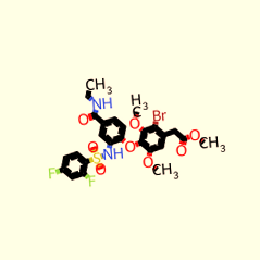 CCNC(=O)c1ccc(Oc2c(OC)cc(CC(=O)OC)c(Br)c2OC)c(NS(=O)(=O)c2ccc(F)cc2F)c1